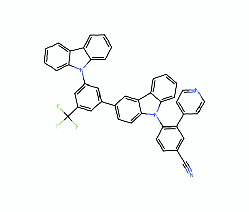 N#Cc1ccc(-n2c3ccccc3c3cc(-c4cc(-n5c6ccccc6c6ccccc65)cc(C(F)(F)F)c4)ccc32)c(-c2ccncc2)c1